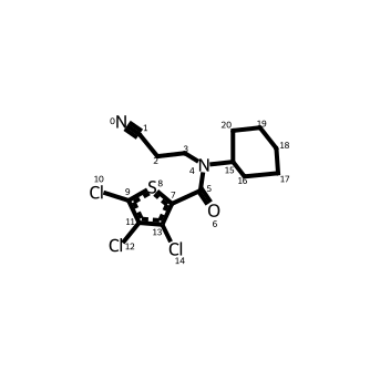 N#CCCN(C(=O)c1sc(Cl)c(Cl)c1Cl)C1CCCCC1